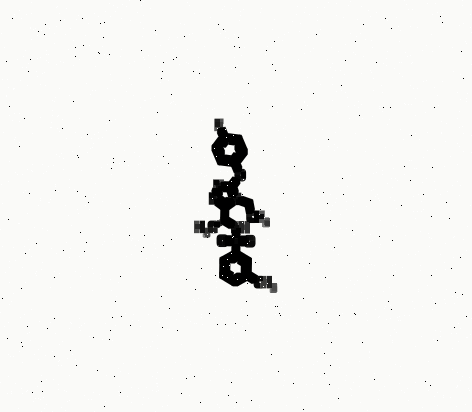 CCn1c(Oc2ccc(F)cc2)nnc1[C@@H](C)NS(=O)(=O)c1cccc(C)c1